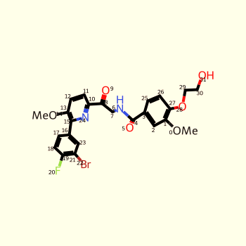 COc1cc(C(=O)NCC(=O)c2ccc(OC)c(-c3ccc(F)c(Br)c3)n2)ccc1OCCO